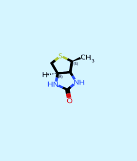 C[C@@H]1SC[C@@H]2NC(=O)NC21